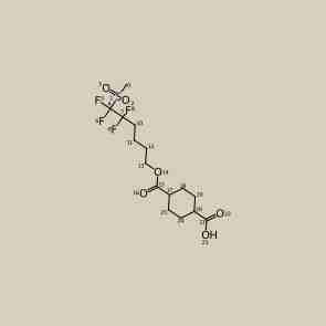 CS(=O)(=O)C(F)(F)C(F)(F)CCCCOC(=O)C1CCC(C(=O)O)CC1